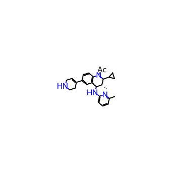 CC(=O)N1c2ccc(C3=CCNCC3)cc2C(Nc2cccc(C)n2)[C@@H](C)C1C1CC1